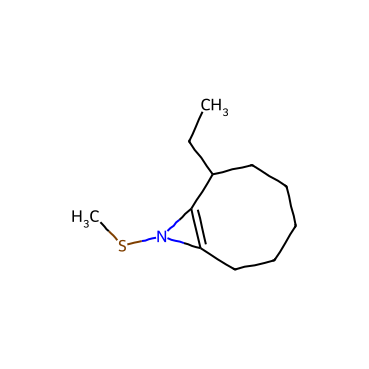 CCC1CCCCCC2=C1N2SC